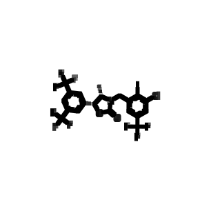 C[C@H]1[C@@H](c2cc(C(F)(F)F)cc(C(F)(F)F)c2)OC(=O)N1Cc1cc(C(F)(F)F)cc(Cl)c1I